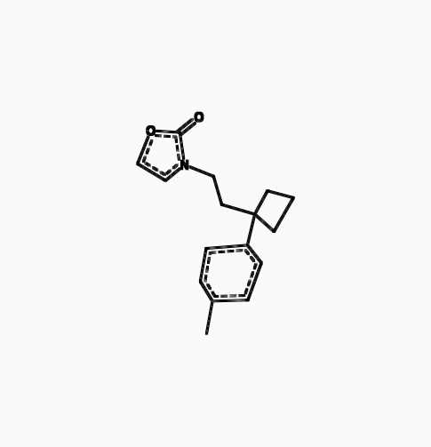 Cc1ccc(C2(CCn3ccoc3=O)CCC2)cc1